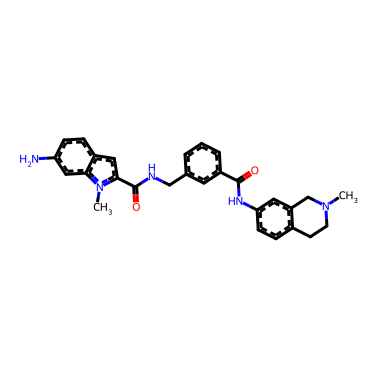 CN1CCc2ccc(NC(=O)c3cccc(CNC(=O)c4cc5ccc(N)cc5n4C)c3)cc2C1